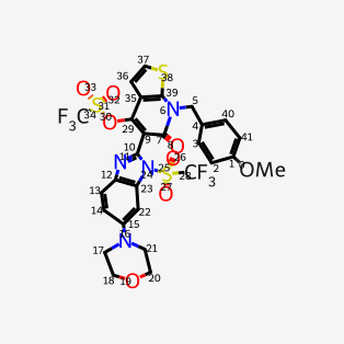 COc1ccc(Cn2c(=O)c(-c3nc4ccc(N5CCOCC5)cc4n3S(=O)(=O)C(F)(F)F)c(OS(=O)(=O)C(F)(F)F)c3ccsc32)cc1